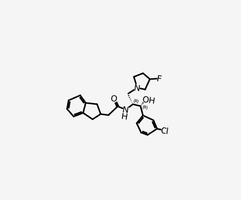 O=C(CC1Cc2ccccc2C1)N[C@H](CN1CCC(F)C1)[C@H](O)c1cccc(Cl)c1